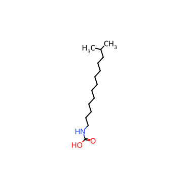 CC(C)CCCCCCCCCCCNC(=O)O